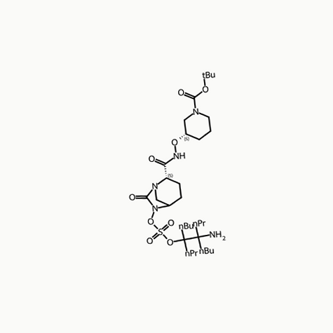 CCCCC(N)(CCC)C(CCC)(CCCC)OS(=O)(=O)ON1C(=O)N2CC1CC[C@H]2C(=O)NO[C@H]1CCCN(C(=O)OC(C)(C)C)C1